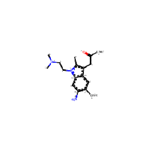 COC(=O)Cc1c(C)n(CCN(C)C)c2cc(N)c(OC)cc12